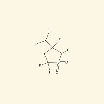 O=S1(=O)C(F)C(F)(C(F)F)CC1(F)F